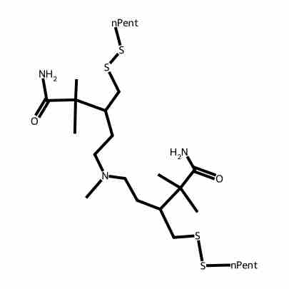 CCCCCSSCC(CCN(C)CCC(CSSCCCCC)C(C)(C)C(N)=O)C(C)(C)C(N)=O